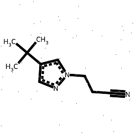 CC(C)(C)c1cnn(CCC#N)c1